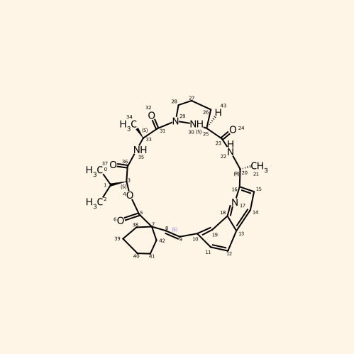 CC(C)[C@@H]1OC(=O)C2(/C=C/c3ccc4ccc(nc4c3)[C@@H](C)NC(=O)[C@@H]3CCCN(N3)C(=O)[C@H](C)NC1=O)CCCCC2